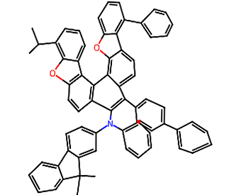 CC(C)c1cccc2c1oc1ccc3c(N(c4ccccc4)c4ccc5c(c4)C(C)(C)c4ccccc4-5)c(-c4ccc(-c5ccccc5)cc4)c4ccc5c(oc6cccc(-c7ccccc7)c65)c4c3c12